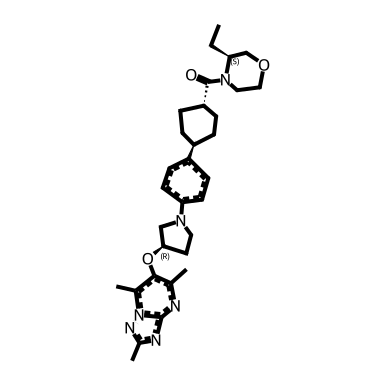 CC[C@H]1COCCN1C(=O)[C@H]1CC[C@H](c2ccc(N3CC[C@@H](Oc4c(C)nc5nc(C)nn5c4C)C3)cc2)CC1